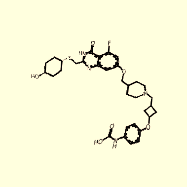 O=C(O)Nc1ccc(OC2CC(CN3CCC(COc4cc(F)c5c(=O)[nH]c(CS[C@H]6CC[C@H](O)CC6)nc5c4)CC3)C2)cc1